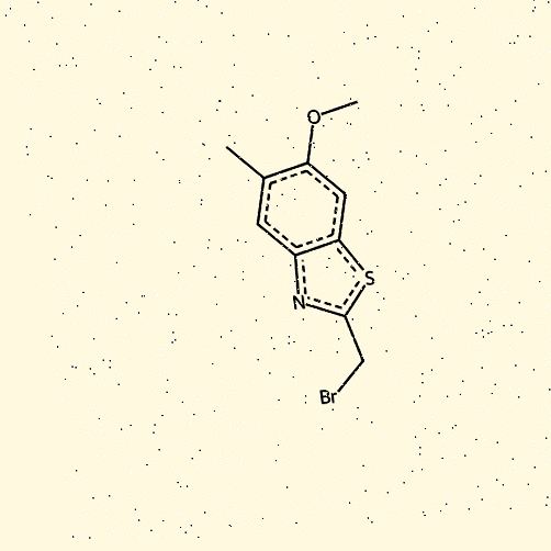 COc1cc2sc(CBr)nc2cc1C